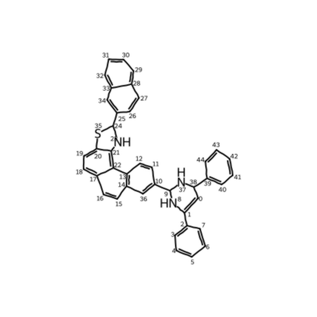 C1=C(c2ccccc2)NC(c2ccc3c(ccc4ccc5c(c43)NC(c3ccc4ccccc4c3)S5)c2)NC1c1ccccc1